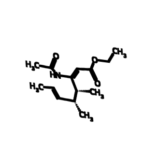 C/C=C/[C@@H](C)[C@@H](C)/C(=C\C(=O)OCC)NC(C)=O